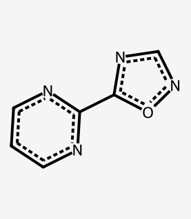 c1cnc(-c2ncno2)nc1